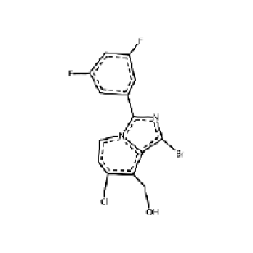 OCc1c(Cl)ccn2c(-c3cc(F)cc(F)c3)nc(Br)c12